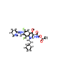 CCC(=O)ONC(=O)c1cn(CCc2ccccc2)c2c(F)c(CNc3ccccn3)c(F)cc2c1=O